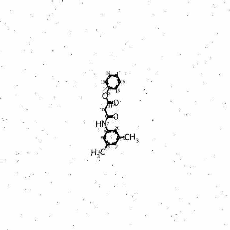 Cc1cc(C)cc(NC(=O)CC(=O)Oc2ccccc2)c1